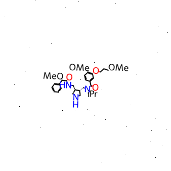 COCCCOc1cc(C(=O)N(C[C@@H]2CNC[C@H]2CNC(=O)[C@H](OC)c2ccccc2)C(C)C)ccc1OC